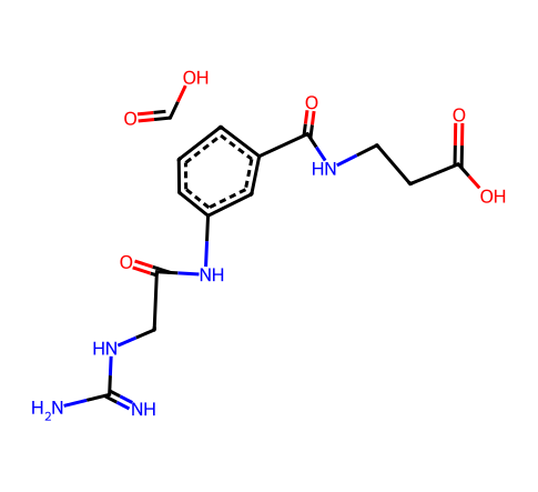 N=C(N)NCC(=O)Nc1cccc(C(=O)NCCC(=O)O)c1.O=CO